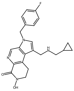 O=C1c2ncc3c(c(CNCC4CC4)cn3Cc3ccc(F)cc3)c2CCN1O